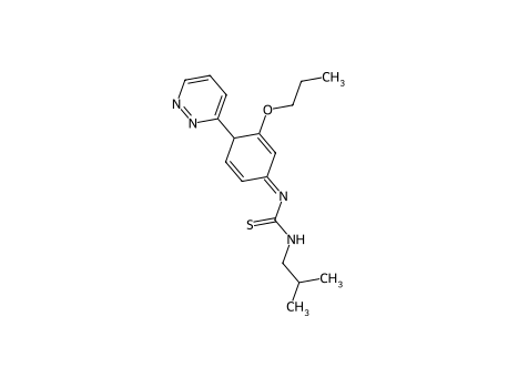 CCCOC1=C/C(=N/C(=S)NCC(C)C)C=CC1c1cccnn1